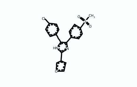 CS(=O)(=O)c1ccc(-c2nc(-c3ccoc3)[nH]c2-c2ccc(Cl)cc2)cc1